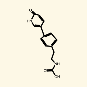 O=C(O)NCCc1ccc(-c2ccc(=O)[nH]c2)cc1